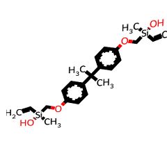 C=C[Si](C)(O)COc1ccc(C(C)(C)c2ccc(OC[Si](C)(O)C=C)cc2)cc1